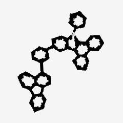 c1ccc(-n2c3ccc(-c4cccc(-c5ccc6c7c(cccc57)-c5ccccc5-6)c4)cc3c3c4ccccc4c4ccccc4c32)cc1